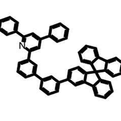 c1ccc(-c2cc(-c3ccccc3)nc(-c3cccc(-c4cccc(-c5ccc6c(c5)-c5ccccc5C65c6ccccc6-c6ccccc65)c4)c3)c2)cc1